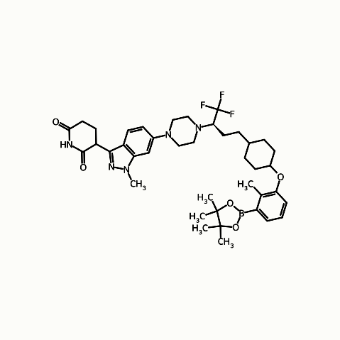 Cc1c(OC2CCC(CC[C@@H](N3CCN(c4ccc5c(C6CCC(=O)NC6=O)nn(C)c5c4)CC3)C(F)(F)F)CC2)cccc1B1OC(C)(C)C(C)(C)O1